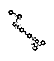 O=C(Nc1ccc(/C=C/c2ccc(NC(=O)[C@@H]3CCCN3C(=O)c3ncccc3OCc3ccccc3)cc2)cc1)[C@@H]1CCCN1OCc1ncccc1OCc1ccccc1